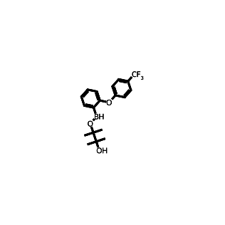 CC(C)(O)C(C)(C)OBc1ccccc1Oc1ccc(C(F)(F)F)cc1